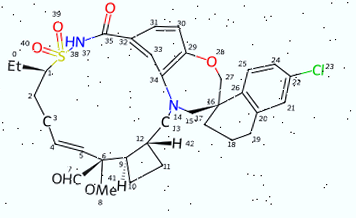 CC[C@@H]1CC/C=C/[C@@](C=O)(OC)[C@@H]2CC[C@H]2CN2C[C@@]3(CCCc4cc(Cl)ccc43)COc3ccc(cc32)C(=O)NS1(=O)=O